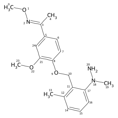 CON=C(C)c1ccc(OCc2c(C)cccc2N(C)N)c(OC)c1